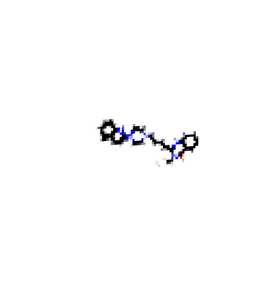 CCN1C(=O)C2CCCCC2N=C1CCCCN1CCN(c2ccc3ccccc3n2)CC1